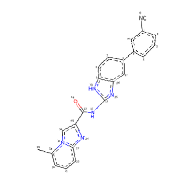 [C-]#[N+]c1cccc(-c2ccc3[nH]c(NC(=O)c4cn5c(C)cccc5n4)nc3c2)c1